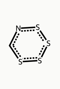 c1nssss1